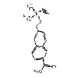 COC(=O)c1ccc2cc(CO[Si](C)(C)C(C)(C)C)ccc2c1